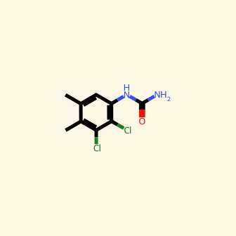 Cc1cc(NC(N)=O)c(Cl)c(Cl)c1C